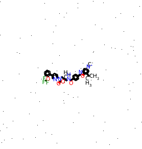 [C-]#[N+]c1cc(C(C)C)c2oc(-c3ccc(C(=O)NCC4(C)CN(c5ccc(-c6ccccc6OC(F)(F)F)cn5)C(=O)O4)cc3)nc2c1